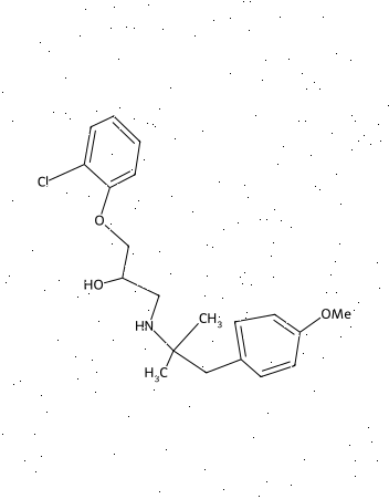 COc1ccc(CC(C)(C)NCC(O)COc2ccccc2Cl)cc1